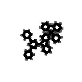 c1ccc(-c2nc(-c3ccccc3)nc(-n3c4ccccc4c4cc(C5(c6ccccc6)c6ccccc6-c6ccccc65)ccc43)n2)cc1